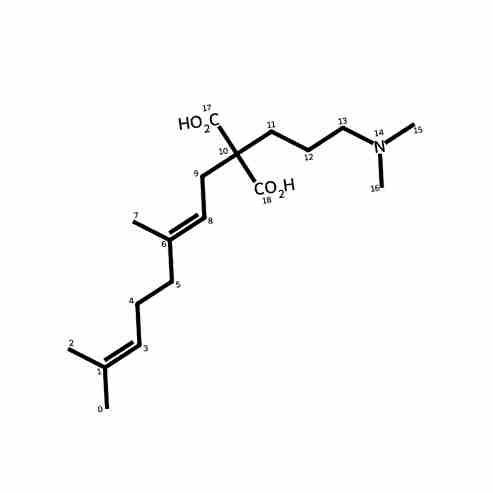 CC(C)=CCC/C(C)=C/CC(CCCN(C)C)(C(=O)O)C(=O)O